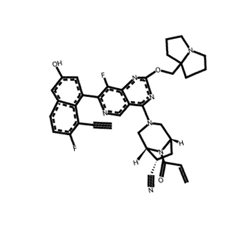 C#Cc1c(F)ccc2cc(O)cc(-c3ncc4c(N5C[C@@H]6C[C@H](C#N)[C@H](C5)N6C(=O)C=C)nc(OCC56CCCN5CCC6)nc4c3F)c12